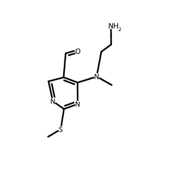 CSc1ncc(C=O)c(N(C)CCN)n1